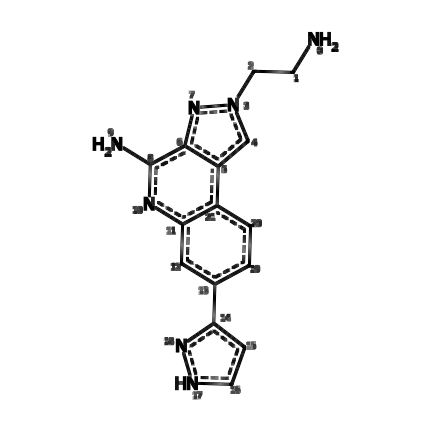 NCCn1cc2c(n1)c(N)nc1cc(-c3cc[nH]n3)ccc12